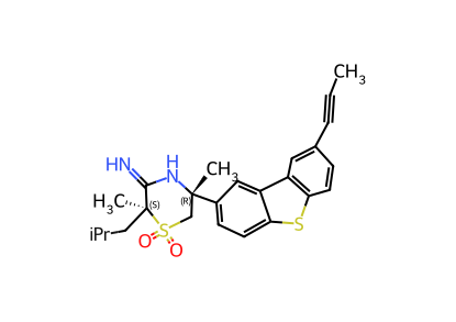 CC#Cc1ccc2sc3ccc([C@]4(C)CS(=O)(=O)[C@@](C)(CC(C)C)C(=N)N4)cc3c2c1